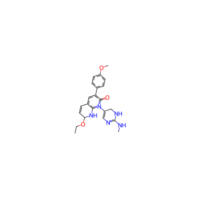 CCOC1C=Cc2cc(-c3ccc(OC)cc3)c(=O)n(C3=CN=C(NC)NC3)c2N1